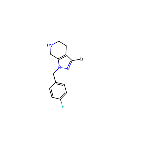 CCc1nn(Cc2ccc(F)cc2)c2c1CCNC2